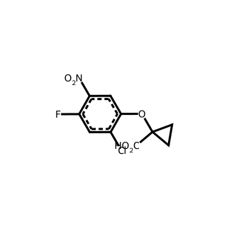 O=C(O)C1(Oc2cc([N+](=O)[O-])c(F)cc2Cl)CC1